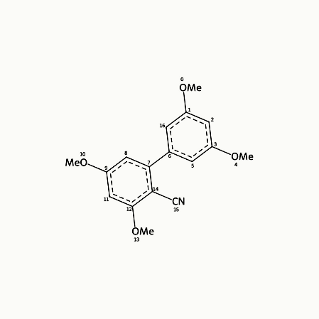 COc1cc(OC)cc(-c2cc(OC)cc(OC)c2C#N)c1